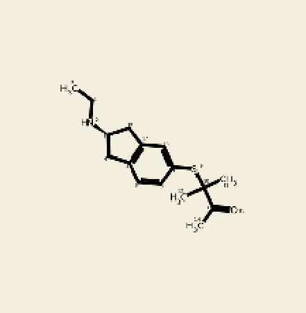 CCN[C@@H]1Cc2ccc(SC(C)(C)C(C)=O)cc2C1